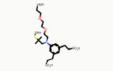 COCCOCCOCCN(CC(C)(C)SSC)c1cc(CCS(=O)(=O)O)cc(CCS(=O)(=O)O)c1